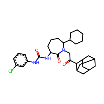 O=C(Nc1cccc(Cl)c1)NC1CCCC(C2CCCCC2)N(CC(=O)C2C3CC4CC(C3)CC2C4)C1=O